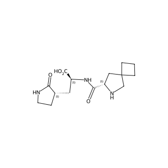 O=C1NCC[C@H]1C[C@H](NC(=O)[C@@H]1CC2(CCC2)CN1)C(=O)O